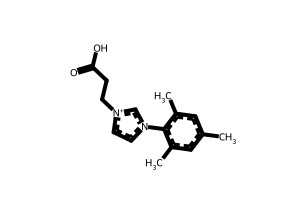 Cc1cc(C)c(-n2cc[n+](CCC(=O)O)c2)c(C)c1